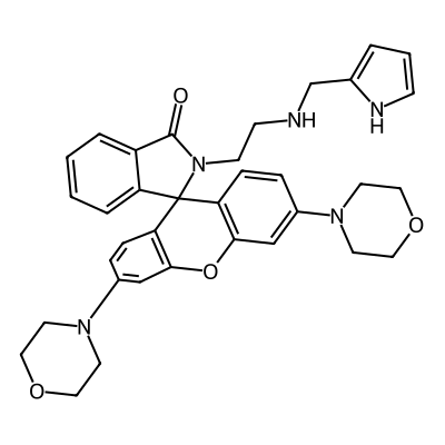 O=C1c2ccccc2C2(c3ccc(N4CCOCC4)cc3Oc3cc(N4CCOCC4)ccc32)N1CCNCc1ccc[nH]1